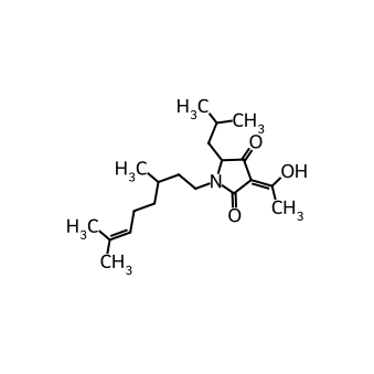 CC(C)=CCCC(C)CCN1C(=O)/C(=C(\C)O)C(=O)C1CC(C)C